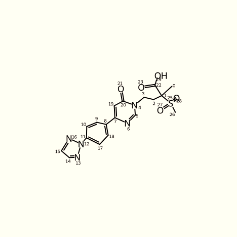 CC(CCn1cnc(-c2ccc(-n3nccn3)cc2)cc1=O)(C(=O)O)S(C)(=O)=O